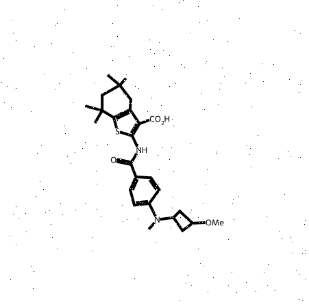 COC1CC(N(C)c2ccc(C(=O)Nc3sc4c(c3C(=O)O)CC(C)(C)CC4(C)C)cc2)C1